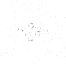 NC(=O)c1cnc(N[C@@H]2CCCC[C@@H]2N)nc1Nc1cccc(OCC(=O)O)c1